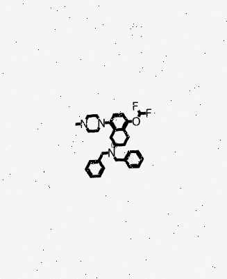 CN1CCN(c2ccc(OC(F)F)c3c2C[C@H](N(Cc2ccccc2)Cc2ccccc2)CC3)CC1